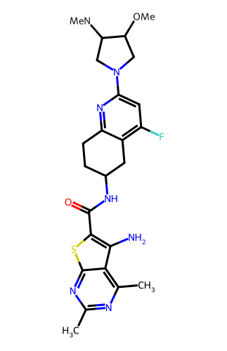 CNC1CN(c2cc(F)c3c(n2)CCC(NC(=O)c2sc4nc(C)nc(C)c4c2N)C3)CC1OC